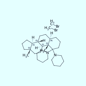 CBr.CBr.C[C@@]12CCC[C@H]1[C@@H]1CC[C@H]3CCCC(N4CCCCC4)(N4CCCCC4)[C@]3(C)[C@H]1CC2